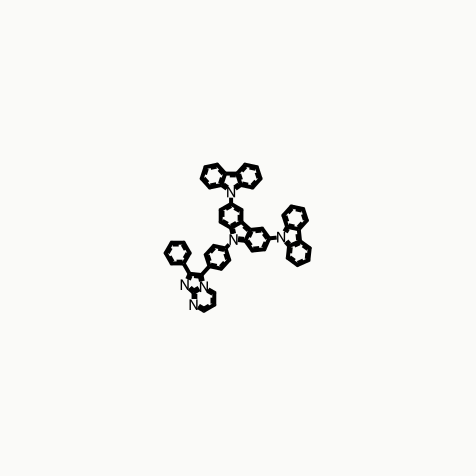 c1ccc(-c2nc3ncccn3c2-c2ccc(-n3c4ccc(-n5c6ccccc6c6ccccc65)cc4c4cc(-n5c6ccccc6c6ccccc65)ccc43)cc2)cc1